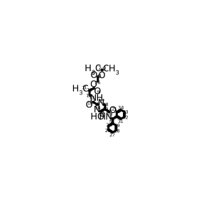 CC(C)OC(=O)COC(=O)C(C)CNC(=O)c1ncc(C(=O)NC(c2ccccc2)c2ccccc2)c(O)n1